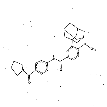 COc1ccc(C(=O)Nc2ccc(C(=O)N3CCCC3)cc2)cc1C12CC3CC(CC(C3)C1)C2